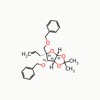 C=CC[C@]1(COCc2ccccc2)O[C@@H]2OC(C)(C)O[C@@H]2[C@@H]1OCc1ccccc1